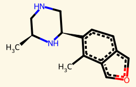 Cc1c([C@@H]2CNC[C@H](C)N2)ccc2cocc12